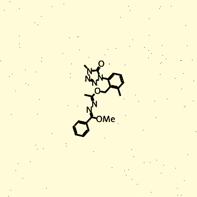 CO/C(=N\N=C(/C)OCc1c(C)cccc1-n1nnn(C)c1=O)c1ccccc1